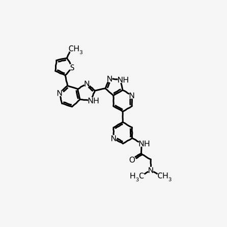 Cc1ccc(-c2nccc3[nH]c(-c4n[nH]c5ncc(-c6cncc(NC(=O)CN(C)C)c6)cc45)nc23)s1